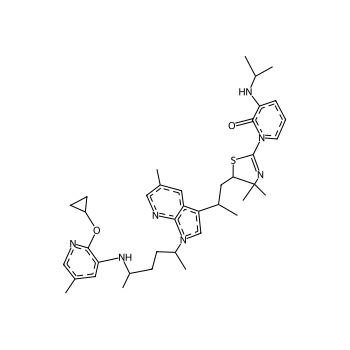 Cc1cnc(OC2CC2)c(NC(C)CCC(C)n2cc(C(C)CC3SC(n4cccc(NC(C)C)c4=O)=NC3(C)C)c3cc(C)cnc32)c1